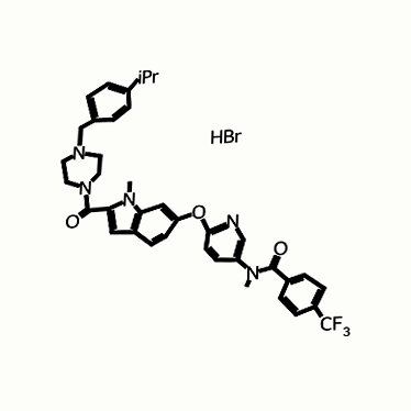 Br.CC(C)c1ccc(CN2CCN(C(=O)c3cc4ccc(Oc5ccc(N(C)C(=O)c6ccc(C(F)(F)F)cc6)cn5)cc4n3C)CC2)cc1